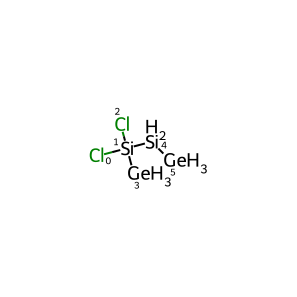 Cl[Si](Cl)([GeH3])[SiH2][GeH3]